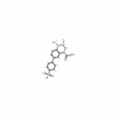 CC(=O)N1c2ccc(-c3ccc(S(C)(=O)=O)cc3)cc2N(C(=O)C(C)C)C[C@@H]1C